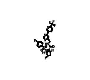 O=C(NCc1cc(-c2ccc(C(F)(F)F)nc2)ncn1)[C@@H]1[C@H]2CC(F)[C@H](C2)N1S(=O)(=O)c1ccc(F)cc1